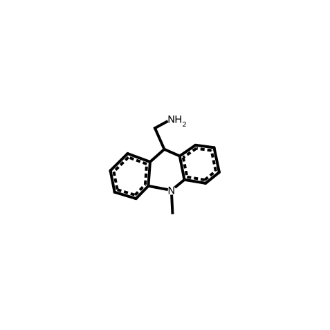 CN1c2ccccc2C(CN)c2ccccc21